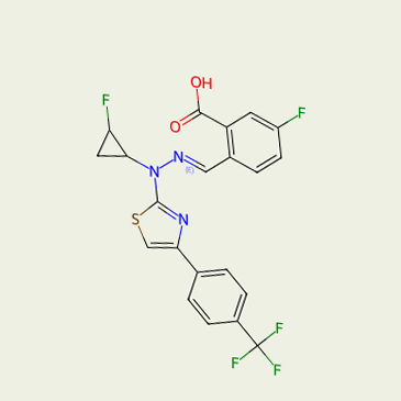 O=C(O)c1cc(F)ccc1/C=N/N(c1nc(-c2ccc(C(F)(F)F)cc2)cs1)C1CC1F